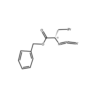 CC(C)C[C@H](N=[N+]=[N-])C(=O)OCc1ccccc1